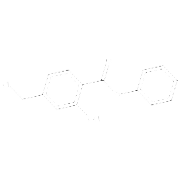 O=C(Oc1ccccc1)c1ccc(CCl)cc1O